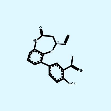 C=C[C@@H]1CC(=O)Nc2cccc(-c3ccc(NC)c(C(C)=N)c3)c2O1